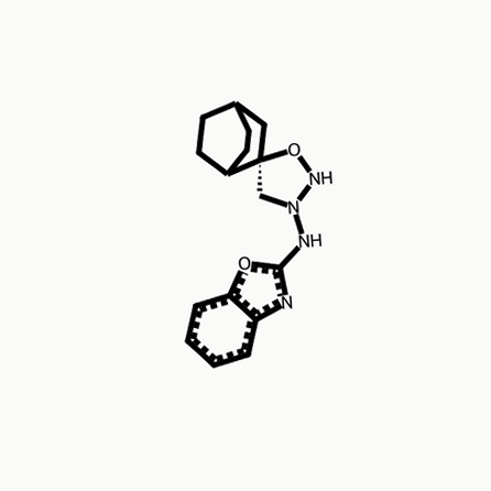 c1ccc2oc(NN3C[C@]4(CC5CCC4CC5)ON3)nc2c1